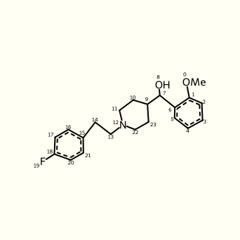 COc1ccccc1C(O)C1CCN(CCc2ccc(F)cc2)CC1